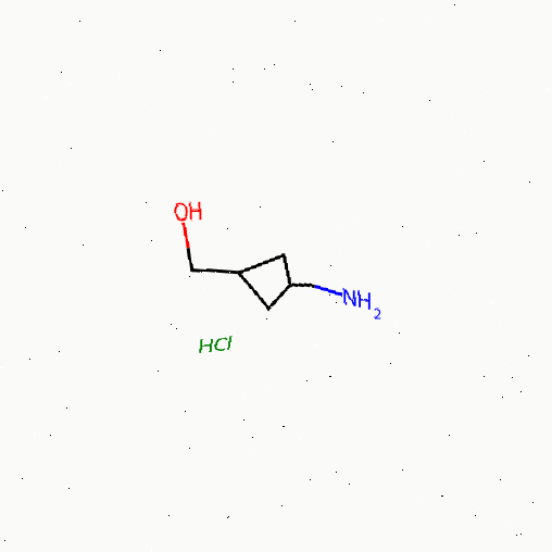 Cl.NC1CC(CO)C1